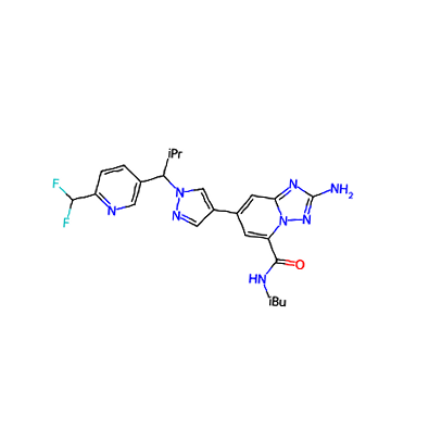 CCC(C)NC(=O)c1cc(-c2cnn(C(c3ccc(C(F)F)nc3)C(C)C)c2)cc2nc(N)nn12